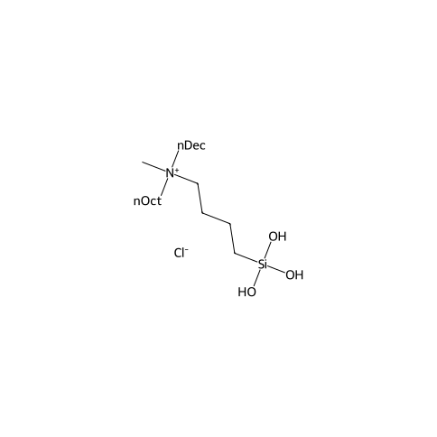 CCCCCCCCCC[N+](C)(CCCCCCCC)CCCC[Si](O)(O)O.[Cl-]